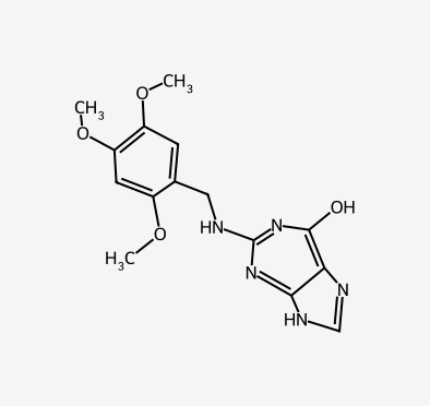 COc1cc(OC)c(OC)cc1CNc1nc(O)c2nc[nH]c2n1